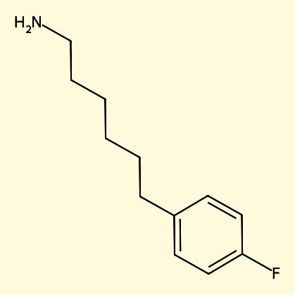 NCCCCCCc1ccc(F)cc1